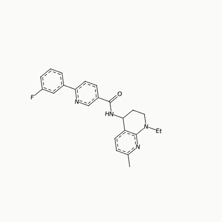 CCN1CCC(NC(=O)c2ccc(-c3cccc(F)c3)nc2)c2ccc(C)nc21